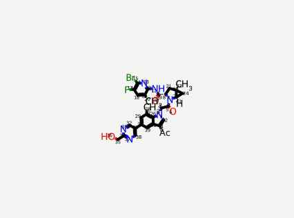 CC(=O)c1cn(CC(=O)N2[C@H](C(=O)Nc3nc(Br)c(F)cc3C)C[C@@]3(C)C[C@@H]23)c2c(C)cc(-c3cnc(CO)nc3)cc12